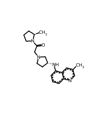 Cc1cnc2cccc(N[C@@H]3CCN(CC(=O)N4CCC[C@H]4C)C3)c2c1